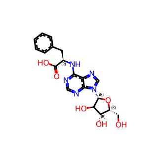 O=C(O)[C@@H](Cc1ccccc1)Nc1ncnc2c1ncn2[C@@H]1O[C@H](CO)[C@H](O)C1O